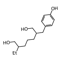 CCC(CO)CCCC(CO)Cc1ccc(O)cc1